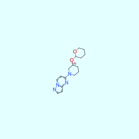 c1cc2nc(N3CCC[C@H](OC4CCCCO4)C3)ccn2n1